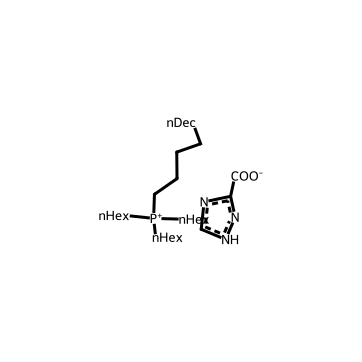 CCCCCCCCCCCCCC[P+](CCCCCC)(CCCCCC)CCCCCC.O=C([O-])c1nc[nH]n1